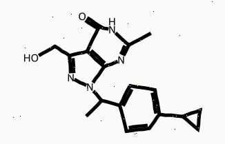 Cc1nc2c(c(CO)nn2C(C)c2ccc(C3CC3)cc2)c(=O)[nH]1